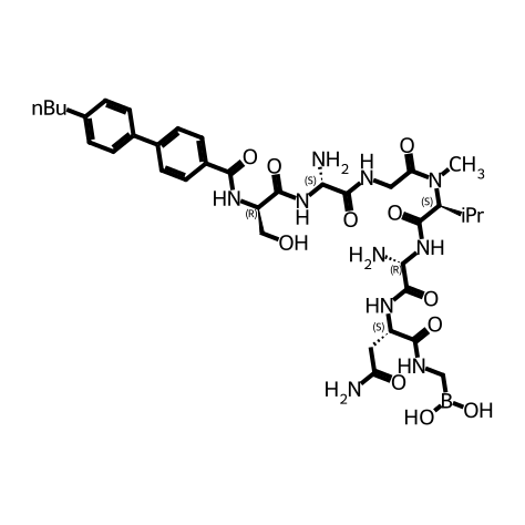 CCCCc1ccc(-c2ccc(C(=O)N[C@H](CO)C(=O)N[C@H](N)C(=O)NCC(=O)N(C)[C@H](C(=O)N[C@@H](N)C(=O)N[C@@H](CC(N)=O)C(=O)NCB(O)O)C(C)C)cc2)cc1